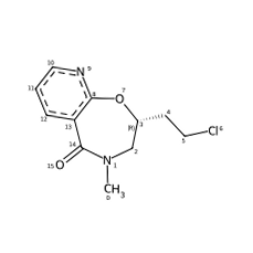 CN1C[C@@H](CCCl)Oc2ncccc2C1=O